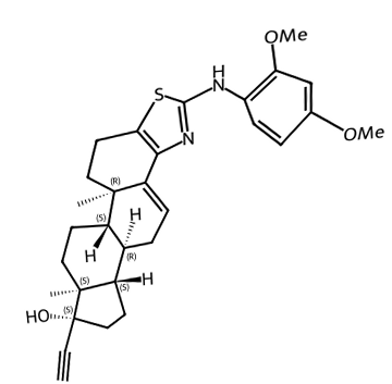 C#C[C@]1(O)CC[C@H]2[C@@H]3CC=C4c5nc(Nc6ccc(OC)cc6OC)sc5CC[C@]4(C)[C@H]3CC[C@@]21C